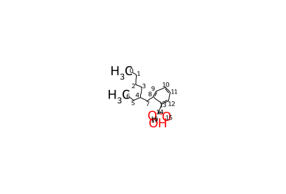 CCCCC(CC)Cc1ccccc1C(=O)OO